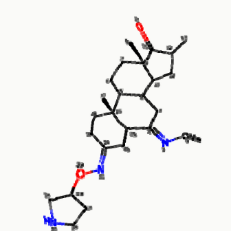 CON=C1CC2C(CC[C@]3(C)C(=O)C(C)CC23)[C@@]2(C)CCC(=NOC3CCNC3)CC12